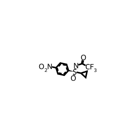 O=C(N=[S@](=O)(c1ccc([N+](=O)[O-])cc1)C1CC1)C(F)(F)F